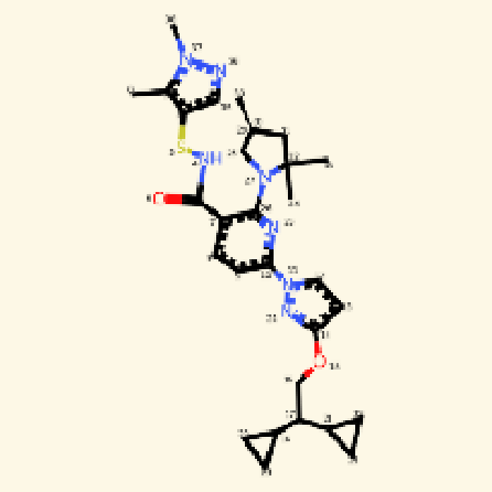 Cc1c(SNC(=O)c2ccc(-n3ccc(OCC(C4CC4)C4CC4)n3)nc2N2C[C@@H](C)CC2(C)C)cnn1C